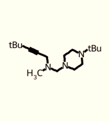 CN(CC#CC(C)(C)C)CN1CCN(C(C)(C)C)CC1